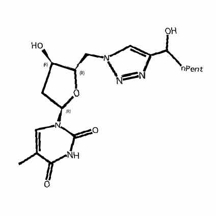 CCCCCC(O)c1cn(C[C@H]2O[C@@H](n3cc(C)c(=O)[nH]c3=O)C[C@H]2O)nn1